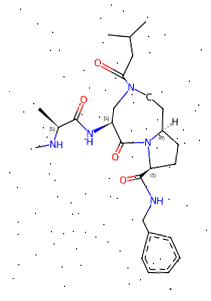 CN[C@@H](C)C(=O)N[C@H]1CN(C(=O)CC(C)C)CC[C@H]2CC[C@@H](C(=O)NCc3ccccc3)N2C1=O